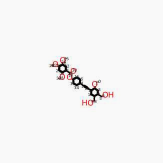 COc1cc(CO)c(CO)cc1C#Cc1ccc(OC(=O)c2cc(OC)c(OC)cc2OC)cc1